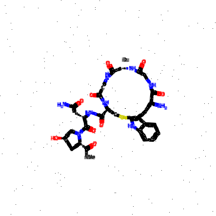 CC[C@H](C)[C@@H]1NC(=O)CNC(=O)C(N)Cc2c([nH]c3ccccc23)SC[C@@H](C(=O)N[C@@H](CC(N)=O)C(=O)N2C[C@H](O)C[C@H]2C(=O)NC)NC(=O)CNC1=O